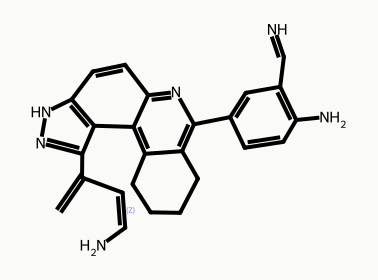 C=C(/C=C\N)c1n[nH]c2ccc3nc(-c4ccc(N)c(C=N)c4)c4c(c3c12)CCCC4